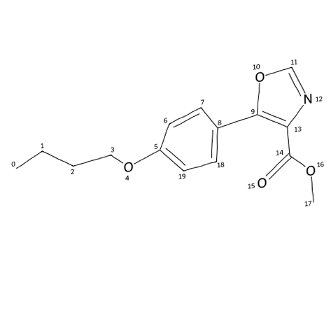 CCCCOc1ccc(-c2ocnc2C(=O)OC)cc1